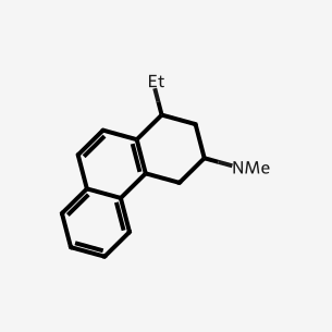 CCC1CC(NC)Cc2c1ccc1ccccc21